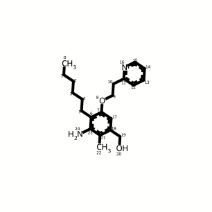 CCCCCCc1c(OCCc2ccccn2)cc(CO)c(C)c1N